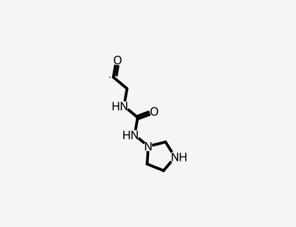 O=[C]CNC(=O)NN1CCNC1